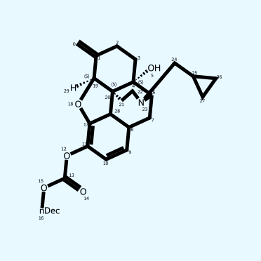 C=C1CC[C@@]2(O)C3CC4C=CC(OC(=O)OCCCCCCCCCC)=C5O[C@@H]1[C@]2(CCN3CC1CC1)C54